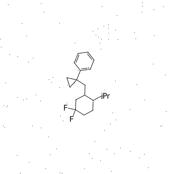 CC(C)C1CCC(F)(F)CC1CC1(c2ccccc2)CC1